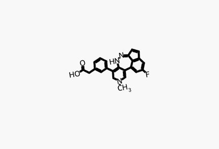 CN1C=C2C(=C(c3cccc(CC(=O)O)c3)C1)NN=C1C=Cc3cc(F)cc2c31